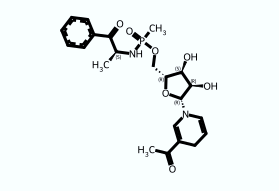 CC(=O)C1=CN([C@@H]2O[C@H](COP(C)(=O)N[C@@H](C)C(=O)c3ccccc3)[C@@H](O)[C@H]2O)C=CC1